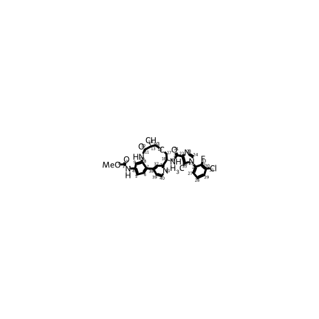 COC(=O)Nc1ccc2c(c1)NC(=O)[C@H](C)CCC[C@H](NC(=O)c1ncn(-c3cccc(Cl)c3F)c1C)c1cc-2ccn1